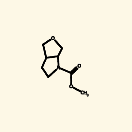 COC(=O)N1CCC2COCC21